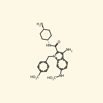 Nc1c(C(=O)N[C@H]2CC[C@H](N)CC2)n(Cc2ccc(C(=O)O)cc2)c2cc(NC(=O)O)ccc12